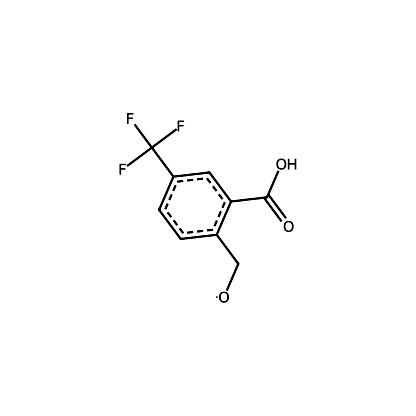 [O]Cc1ccc(C(F)(F)F)cc1C(=O)O